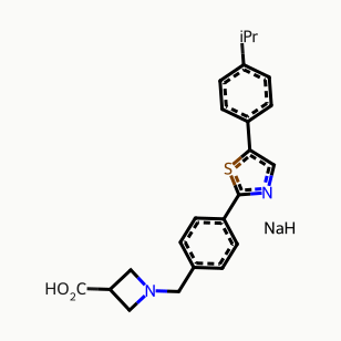 CC(C)c1ccc(-c2cnc(-c3ccc(CN4CC(C(=O)O)C4)cc3)s2)cc1.[NaH]